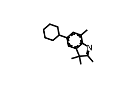 CC1=Nc2c(C)cc(C3CCCCC3)cc2C1(C)C